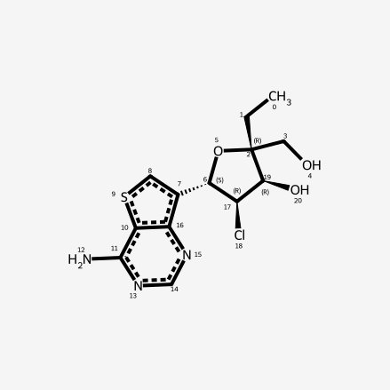 CC[C@]1(CO)O[C@@H](c2csc3c(N)ncnc23)[C@H](Cl)[C@@H]1O